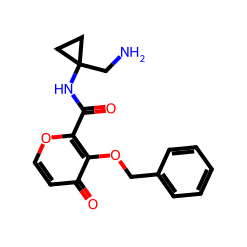 NCC1(NC(=O)c2occc(=O)c2OCc2ccccc2)CC1